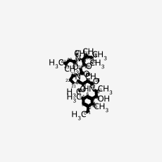 CCC1=CC(C)C=C([C@H](O)[C@@H](C)NC(=O)[C@H](C)[C@@H](OC)[C@@H]2CCCN2C(=O)C[C@@H](OC)[C@H]([C@@H](C)CC)N(C)C(=O)CC(C)C)C1C